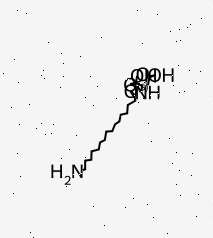 NCCCCCCCCCCCCCCCC(=O)N[C@@H](CC(=O)O)C(=O)O